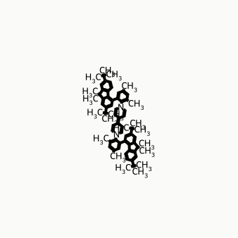 Cc1cc(C)c(N2C=CC(=C3C=CN(c4c(C)cc(C)cc4-c4cc(C(C)(C)C)cc5c4-c4ccc(C(C)(C)C)cc4C5(C)C)C=C3)C=C2)c(-c2cc(C(C)(C)C)cc3c2-c2ccc(C(C)(C)C)cc2C3(C)C)c1